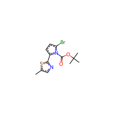 Cc1cnc(-c2ccc(Br)n2C(=O)OC(C)(C)C)s1